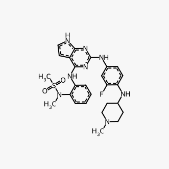 CN1CCC(Nc2ccc(Nc3nc(Nc4ccccc4N(C)S(C)(=O)=O)c4cc[nH]c4n3)cc2F)CC1